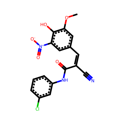 COc1cc(C=C(C#N)C(=O)Nc2cccc(Cl)c2)cc([N+](=O)[O-])c1O